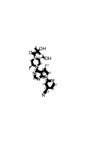 C[C@H]1CN(C(=O)C(C)(C)O)[C@H](CO)CN1c1ncnc2c1c(I)cn2-c1cc(C#N)ccn1